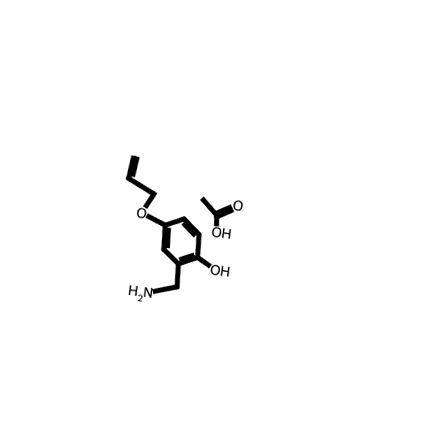 C=CCOc1ccc(O)c(CN)c1.CC(=O)O